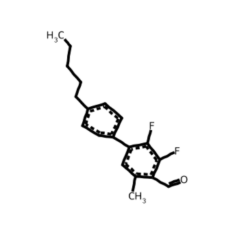 CCCCCc1ccc(-c2cc(C)c(C=O)c(F)c2F)cc1